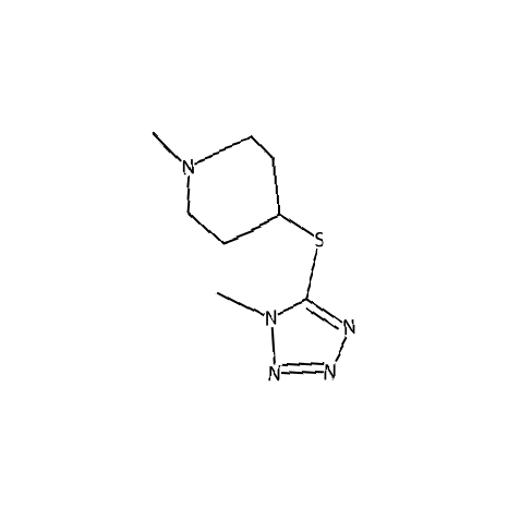 CN1CCC(Sc2nnnn2C)CC1